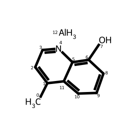 Cc1ccnc2c(O)cccc12.[AlH3]